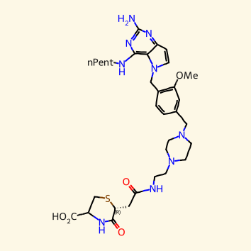 CCCCCNc1nc(N)nc2ccn(Cc3ccc(CN4CCN(CCNC(=O)C[C@H]5SCC(C(=O)O)NC5=O)CC4)cc3OC)c12